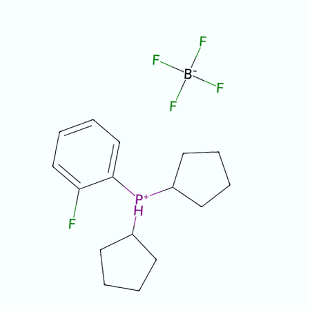 F[B-](F)(F)F.Fc1ccccc1[PH+](C1CCCC1)C1CCCC1